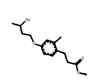 COC(=O)CCc1ccc(OCCC(C)O)cc1C